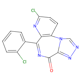 O=c1nc(-c2ccccc2Cl)c2nc(Cl)ccc2n2cnnc12